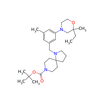 CCC1(C)CN(c2cc(C)cc(CN3CCCC34CCN(C(=O)OC(C)(C)C)CC4)c2)CCO1